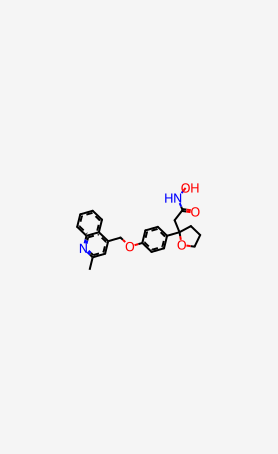 Cc1cc(COc2ccc(C3(CC(=O)NO)CCCO3)cc2)c2ccccc2n1